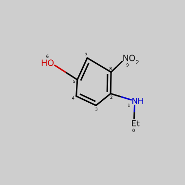 CCNc1ccc(O)cc1[N+](=O)[O-]